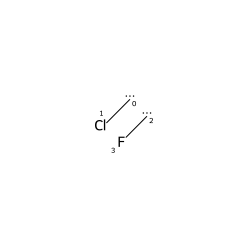 [C]Cl.[C]F